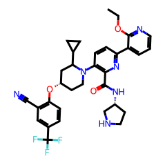 CCOc1ncccc1-c1ccc(N2CC[C@H](Oc3ccc(C(F)(F)F)cc3C#N)CC2C2CC2)c(C(=O)N[C@@H]2CCNC2)n1